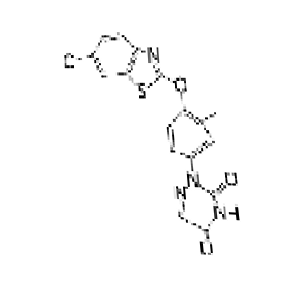 Cc1cc(-n2ncc(=O)[nH]c2=O)ccc1Oc1nc2ccc(Cl)cc2s1